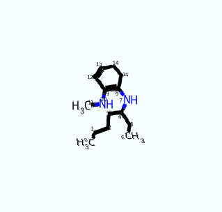 CCCCC(CC)NC1=C(NC)C=CCC1